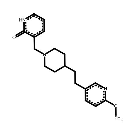 COc1ccc(CCC2CCN(Cc3ccc[nH]c3=O)CC2)cn1